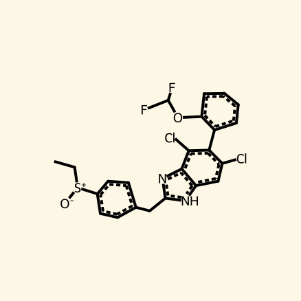 CC[S+]([O-])c1ccc(Cc2nc3c(Cl)c(-c4ccccc4OC(F)F)c(Cl)cc3[nH]2)cc1